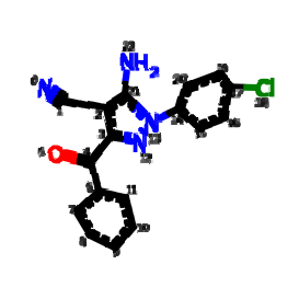 N#Cc1c(C(=O)c2ccccc2)nn(-c2ccc(Cl)cc2)c1N